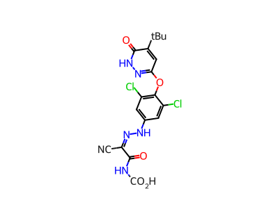 CC(C)(C)c1cc(Oc2c(Cl)cc(NN=C(C#N)C(=O)NC(=O)O)cc2Cl)n[nH]c1=O